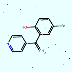 C=C(c1ccncc1)c1cc(Br)ccc1O